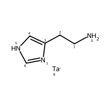 NCCc1c[nH]cn1.[Ta]